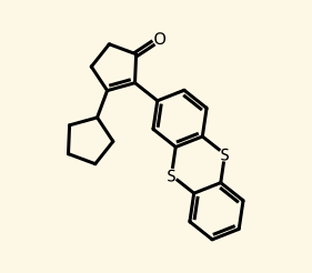 O=C1CCC(C2CCCC2)=C1c1ccc2c(c1)Sc1ccccc1S2